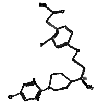 C[C@H](CCOc1ccc(CC(=O)O)c(F)c1)C1CCN(c2ncc(Cl)cn2)CC1